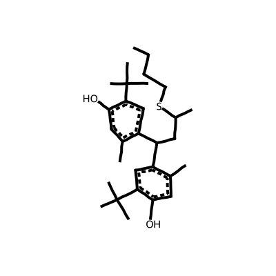 CCCCSC(C)CC(c1cc(C(C)(C)C)c(O)cc1C)c1cc(C(C)(C)C)c(O)cc1C